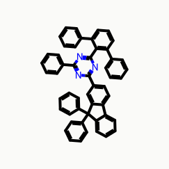 c1ccc(-c2nc(-c3ccc4c(c3)C(c3ccccc3)(c3ccccc3)c3ccccc3-4)nc(-c3c(-c4ccccc4)cccc3-c3ccccc3)n2)cc1